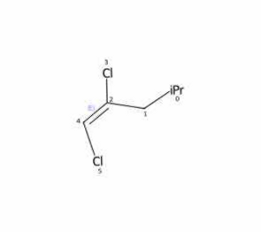 CC(C)C/C(Cl)=C\Cl